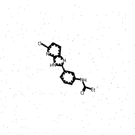 CCC(=O)Nc1cccc(-c2nc3ccc(Cl)nc3[nH]2)c1